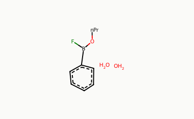 CCCOB(F)c1ccccc1.O.O